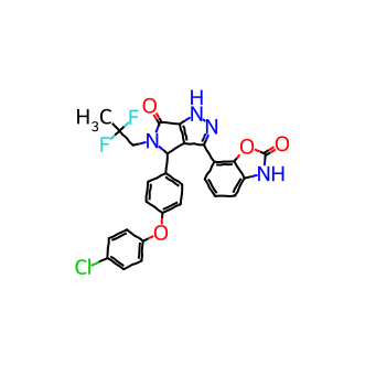 CC(F)(F)CN1C(=O)c2[nH]nc(-c3cccc4[nH]c(=O)oc34)c2C1c1ccc(Oc2ccc(Cl)cc2)cc1